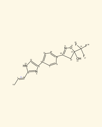 C/C=C/c1nc(-c2ccc(C3=NOC(O)(C(F)(F)F)C3)cc2)c[nH]1